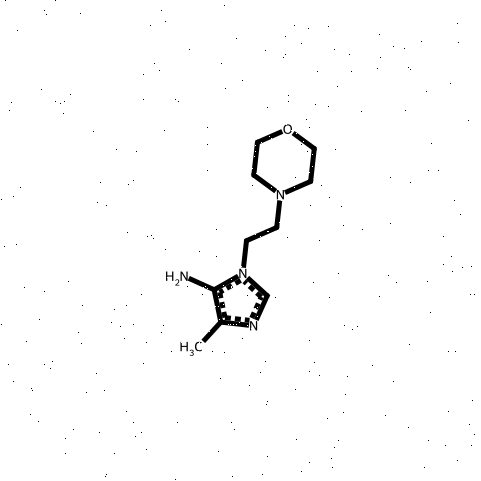 Cc1ncn(CCN2CCOCC2)c1N